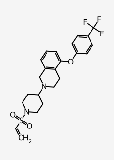 C=CS(=O)(=O)N1CCC(N2CCc3c(cccc3Oc3ccc(C(F)(F)F)cc3)C2)CC1